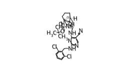 CC(C)(C)OC(=O)N[C@@H]1[C@@H]2CCC[C@H]1CC(CNc1nc(NCc3c(Cl)cccc3Cl)ncc1C#N)C2